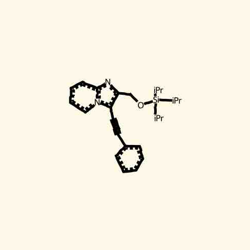 CC(C)[Si](OCc1nc2ccccn2c1C#Cc1ccccc1)(C(C)C)C(C)C